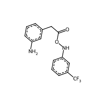 Nc1cccc(CC(=O)ONc2cccc(C(F)(F)F)c2)c1